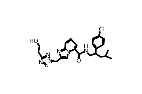 CC(C)CC(CNC(=O)c1cccc2nc(Cn3nnc(CCO)n3)cn12)c1ccc(Cl)cc1